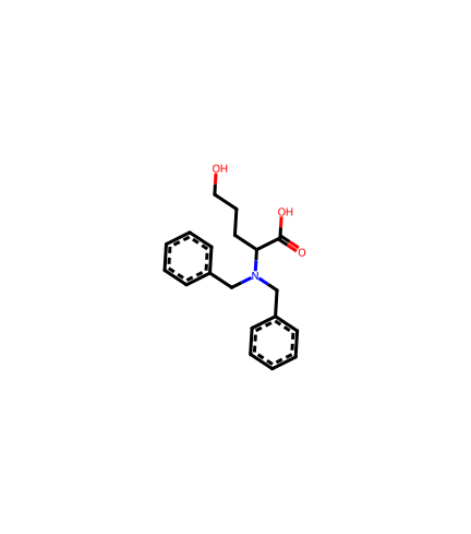 O=C(O)C(CCCO)N(Cc1ccccc1)Cc1ccccc1